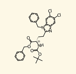 CC(C)(C)OC(=O)N[C@@H](CCc1nc2cc(Cl)c(Cl)cc2n1Cc1ccccc1)C(=O)OCc1ccccc1